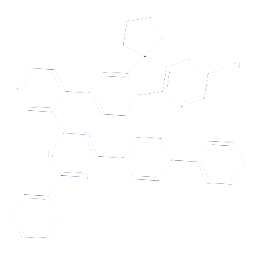 N#Cc1ccc2c(c1)C1(CCCC1)c1cc(-c3ccccc3-c3nc(-c4ccccc4)nc(-c4ccc(-c5ccccc5)cc4)n3)ccc1-2